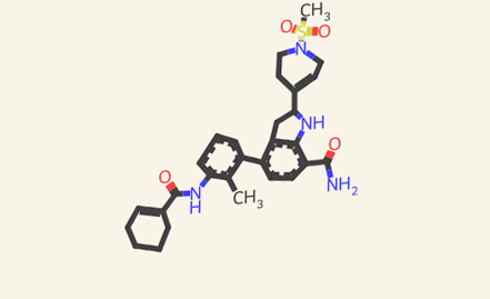 Cc1c(NC(=O)C2=CCCCC2)cccc1-c1ccc(C(N)=O)c2c1CC(C1=CCN(S(C)(=O)=O)CC1)N2